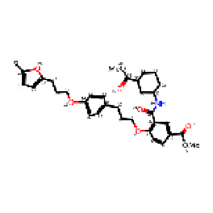 COC(=O)c1ccc(OCCCc2ccc(OCCCc3ccc(C)o3)cc2)c(C(=O)NC2CCCC(C(=O)OC)C2)c1